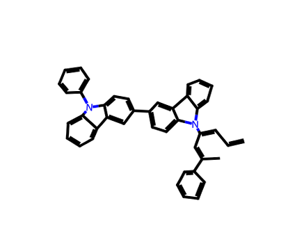 C=C/C=C(\C=C(/C)c1ccccc1)n1c2ccccc2c2cc(-c3ccc4c(c3)c3ccccc3n4-c3ccccc3)ccc21